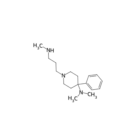 CNCCCN1CCC(c2ccccc2)(N(C)C)CC1